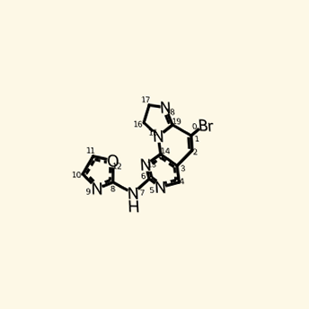 BrC1=Cc2cnc(Nc3ncco3)nc2N2CCN=C12